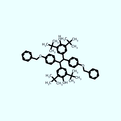 CC(C)(C)c1cc(C(c2ccc(OCc3ccccc3)cc2)C(c2ccc(OCc3ccccc3)cc2)c2cc(C(C)(C)C)c(O)c(C(C)(C)C)c2)cc(C(C)(C)C)c1O